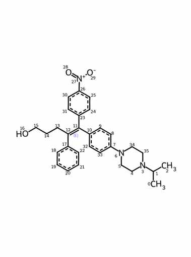 CC(C)N1CCN(c2ccc(/C(=C(/CCCO)c3ccccc3)c3ccc([N+](=O)[O-])cc3)cc2)CC1